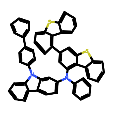 c1ccc(-c2ccc(-n3c4ccccc4c4ccc(N(c5ccccc5)c5cc(-c6cccc7sc8ccccc8c67)cc6sc7ccccc7c56)cc43)cc2)cc1